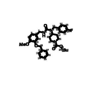 COc1ccc(CNC(=O)N(Cc2ccc(F)cc2)C2CCN(C(=O)OC(C)(C)C)CC2)cc1OCc1ccccc1